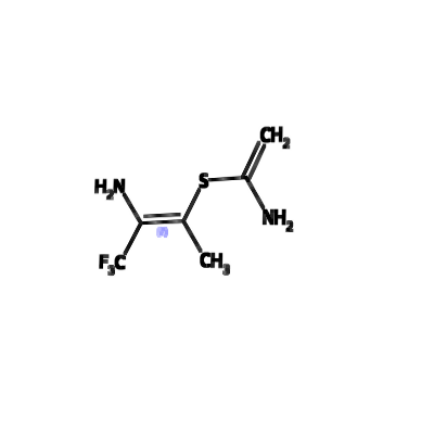 C=C(N)S/C(C)=C(\N)C(F)(F)F